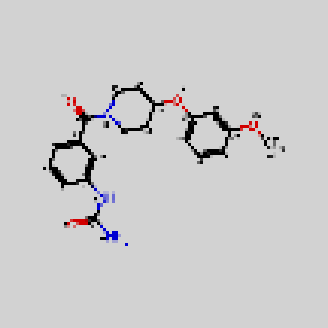 NC(=O)Nc1cccc(C(=O)N2CCC(Oc3cccc(OC(F)(F)F)c3)CC2)c1